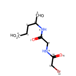 O=CC(CCC(=O)O)NC(=O)CNC(=O)CBr